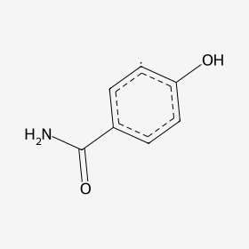 NC(=O)c1c[c]c(O)cc1